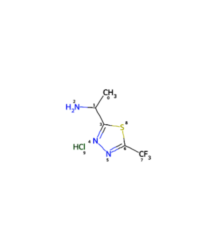 CC(N)c1nnc(C(F)(F)F)s1.Cl